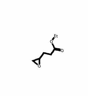 CCOC(=O)CCC1CO1